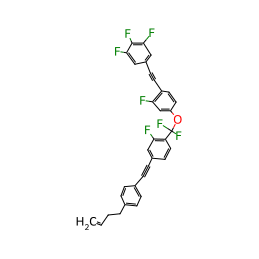 C=CCCc1ccc(C#Cc2ccc(C(F)(F)Oc3ccc(C#Cc4cc(F)c(F)c(F)c4)c(F)c3)c(F)c2)cc1